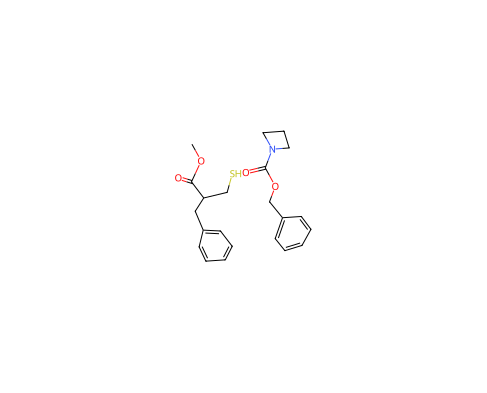 COC(=O)C(CS)Cc1ccccc1.O=C(OCc1ccccc1)N1CCC1